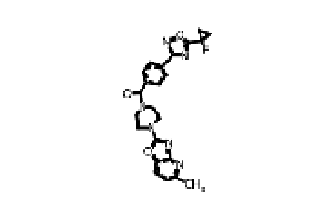 Cc1ccc2oc(N3CCN(C(=O)c4ccc(-c5noc(C6(F)CC6)n5)cc4)CC3)nc2n1